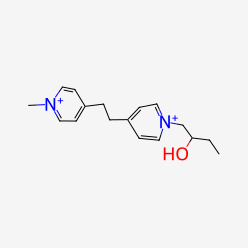 CCC(O)C[n+]1ccc(CCc2cc[n+](C)cc2)cc1